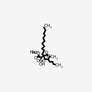 CCCCCCCCCCCCC(CC(CC)CCCC)(C(=O)[O-])C(C(=O)[O-])S(=O)(=O)O.[Na+].[Na+]